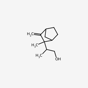 C=C1C2CCC(C2)C1(C)C(C)CO